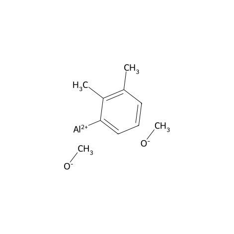 C[O-].C[O-].Cc1ccc[c]([Al+2])c1C